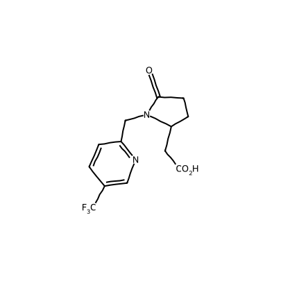 O=C(O)CC1CCC(=O)N1Cc1ccc(C(F)(F)F)cn1